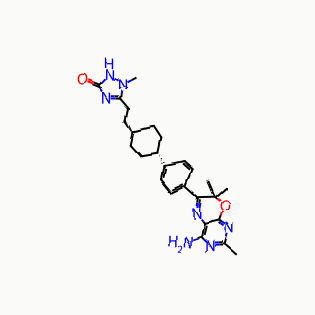 Cc1nc(N)c2c(n1)OC(C)(C)C(c1ccc([C@H]3CC[C@H](CCc4nc(=O)[nH]n4C)CC3)cc1)=N2